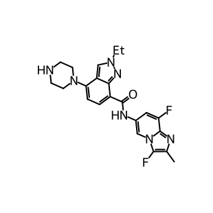 CCn1cc2c(N3CCNCC3)ccc(C(=O)Nc3cc(F)c4nc(C)c(F)n4c3)c2n1